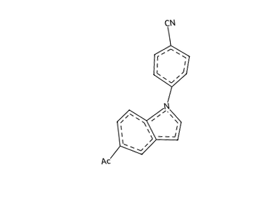 CC(=O)c1ccc2c(ccn2-c2ccc(C#N)cc2)c1